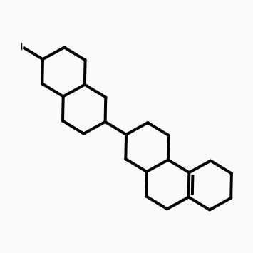 IC1CCC2CC(C3CCC4C5=C(CCCC5)CCC4C3)CCC2C1